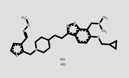 CON=Cc1ccsc1CN1CCC(CCc2noc3c(CN(C)C)c(OCC4CC4)ccc23)CC1.Cl.Cl